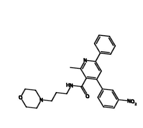 Cc1nc(-c2ccccc2)cc(-c2cccc([N+](=O)[O-])c2)c1C(=O)NCCCN1CCOCC1